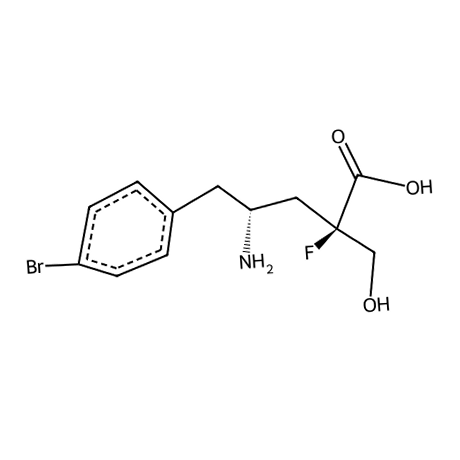 N[C@H](Cc1ccc(Br)cc1)C[C@@](F)(CO)C(=O)O